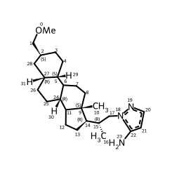 COC[C@H]1CC[C@@H]2C3CC[C@@]4(C)C(CC[C@@H]4[C@@H](C)Cn4nccc4N)[C@@H]3CC[C@@H]2C1